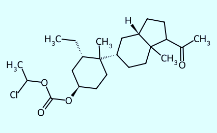 CC[C@H]1C[C@H](OC(=O)OC(C)Cl)CCC1(C)[C@H]1CCC2(C)C(C(C)=O)CC[C@H]2C1